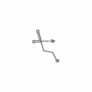 O=S(=O)(Br)CCBr